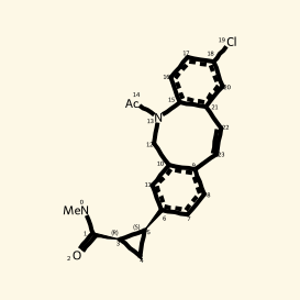 CNC(=O)[C@@H]1C[C@@H]1c1ccc2c(c1)CN(C(C)=O)c1ccc(Cl)cc1C=C2